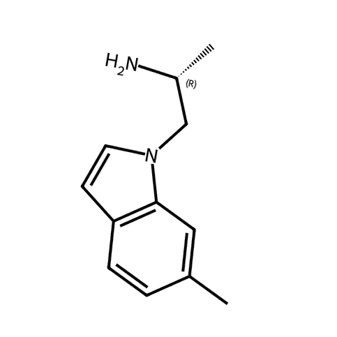 Cc1ccc2ccn(C[C@@H](C)N)c2c1